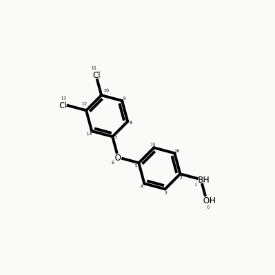 OBc1ccc(Oc2ccc(Cl)c(Cl)c2)cc1